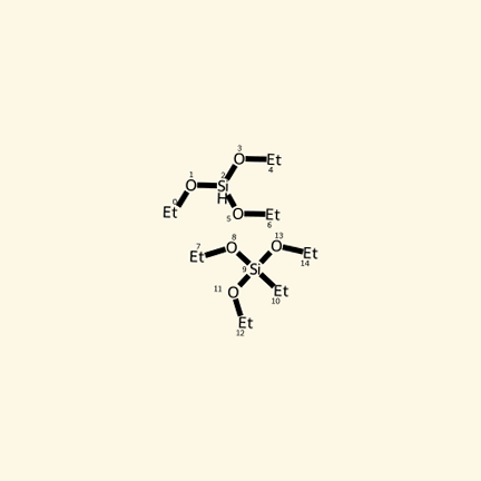 CCO[SiH](OCC)OCC.CCO[Si](CC)(OCC)OCC